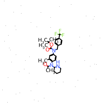 CC(=O)N(c1ccc(N(Cc2ccc(C(F)(F)F)cc2)C(=O)OC(C)(C)C)cc1C)C1CCCCN1